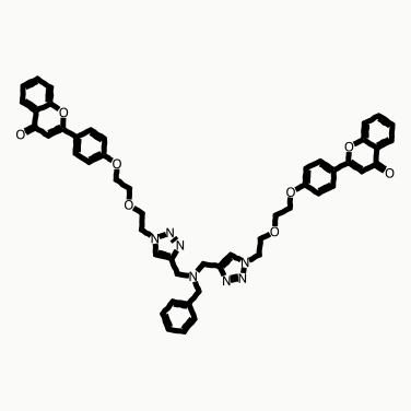 O=c1cc(-c2ccc(OCCOCCn3cc(CN(Cc4ccccc4)Cc4cn(CCOCCOc5ccc(-c6cc(=O)c7ccccc7o6)cc5)nn4)nn3)cc2)oc2ccccc12